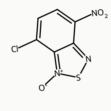 O=[N+]([O-])c1ccc(Cl)c2c1ns[n+]2[O-]